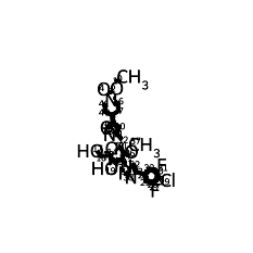 CCOC(=O)N1CCC(c2cc(C[C@H]3O[C@H](CO)[C@H](O)[C@H](n4cc(-c5cc(F)c(Cl)c(F)c5)nn4)[C@H]3OC)no2)CC1